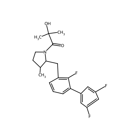 CC1CCN(C(=O)C(C)(C)O)C1Cc1cccc(-c2cc(F)cc(F)c2)c1F